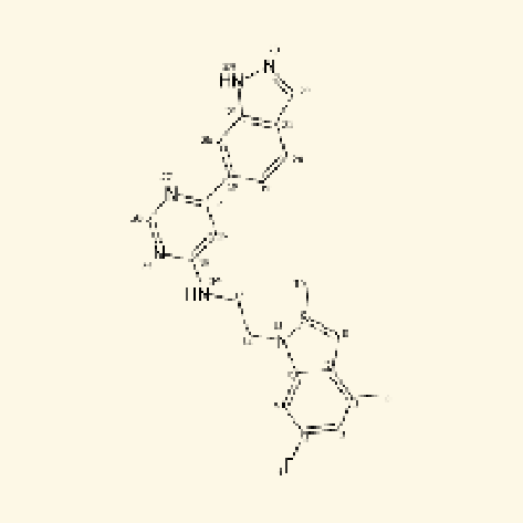 Cc1cc(F)cc2c1cc(C)n2CCNc1cc(-c2ccc3cn[nH]c3c2)ncn1